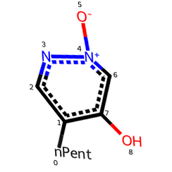 CCCCCc1cn[n+]([O-])cc1O